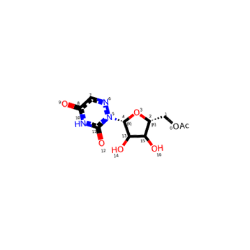 CC(=O)OC[C@H]1O[C@@H](n2ncc(=O)[nH]c2=O)C(O)C1O